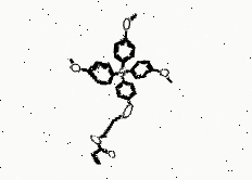 C=CC(=O)OCCOc1ccc([Si](c2ccc(OC)cc2)(c2ccc(OC)cc2)c2ccc(OC)cc2)cc1